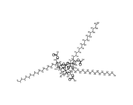 CCCCCCCCCCCCCCCCCCC(COC(C)=O)CC(CCC)(OP(=O)(OC(CCC)(CC(CCCCCCCCCCCCCCCCCC)COC(C)=O)[N+](C)(C)C)OC(CCC)(CC(CCCCCCCCCCCCCCCCCC)COC(C)=O)[N+](C)(C)C)[N+](C)(C)C